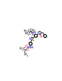 CC(C)OC(=O)Nc1ccc(-c2ncc(-c3ccc(N4CCC(Cc5ccccc5)C4=O)cc3SNC(C)(C)C)s2)cc1